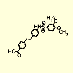 COc1ccc(S(=O)(=O)Nc2ccc(CCc3ccc(C(=O)O)cc3)cc2)cc1OC